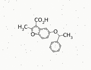 Cc1oc2ccc(OC(C)c3ccccc3)cc2c1C(=O)O